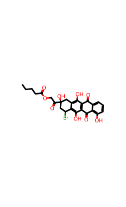 CCCCC(=O)OCC(=O)C1(O)Cc2c(O)c3c(c(O)c2C(Br)C1)C(=O)c1c(O)cccc1C3=O